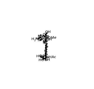 COP(=O)(O)OC1C(CO)OC(n2cnc3c(N)ncnc32)C1OCc1cn(CCOCCOCCOC2OC(CO)C(O)C(O)C2NC(C)=O)nn1